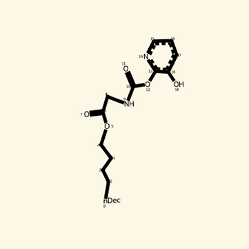 CCCCCCCCCCCCCCOC(=O)CNC(=O)Oc1ncccc1O